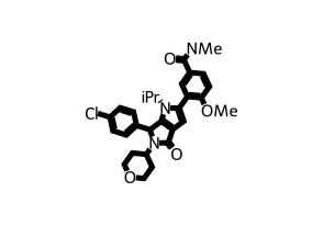 CNC(=O)c1ccc(OC)c(-c2cc3c(n2C(C)C)C(c2ccc(Cl)cc2)N(C2CCOCC2)C3=O)c1